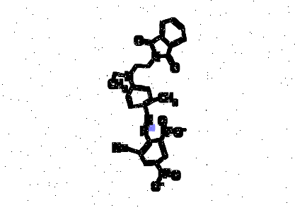 CCN(CCN1C(=O)c2ccccc2C1=O)c1ccc(/N=N/c2c(C#N)cc([N+](=O)[O-])cc2[N+](=O)[O-])c(C)c1